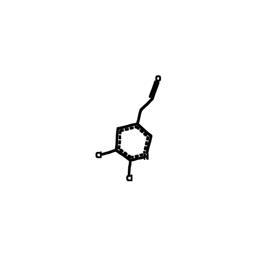 O=CCc1cnc(Cl)c(Cl)c1